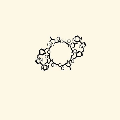 CC(C)C[C@H]1C(=O)O[C@H](Cc2ccc(Cn3ccc(-c4cnccn4)n3)cc2)C(=O)N(C)[C@@H](CC(C)C)C(=O)O[C@H](C)C(=O)N(C)[C@@H](CC(C)C)C(=O)O[C@H](Cc2ccc(Cn3ccc(-c4cnccn4)n3)cc2)C(=O)N(C)[C@@H](CC(C)C)C(=O)O[C@H](C)C(=O)N1C